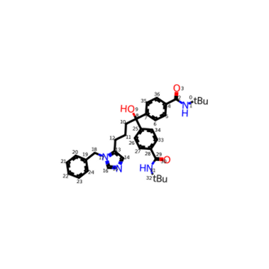 CC(C)(C)NC(=O)c1ccc(C(O)(CCCc2cncn2Cc2ccccc2)c2ccc(C(=O)NC(C)(C)C)cc2)cc1